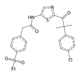 CCS(=O)(=O)c1ccc(CC(=O)Nc2cnc(C(=O)C(C)(C)c3ccc(Cl)cc3)s2)cc1